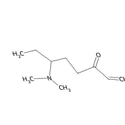 [CH2]CC(CCC(=O)C=C)N(C)C